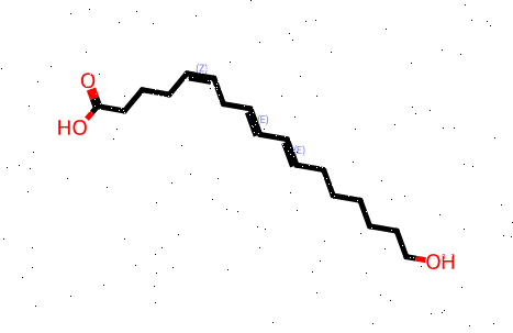 O=C(O)CCC/C=C\C/C=C/C=C/CCCCCCO